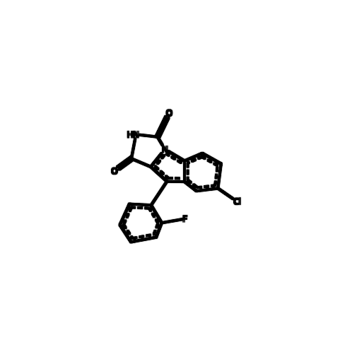 O=C1NC(=O)n2c1c(-c1ccccc1F)c1cc(Cl)ccc12